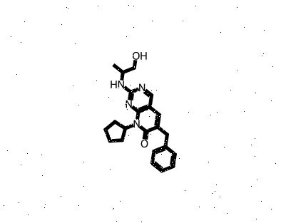 CC(CO)Nc1ncc2cc(Cc3ccccc3)c(=O)n(C3CCCC3)c2n1